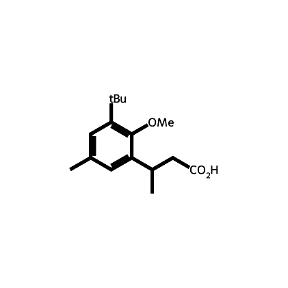 COc1c(C(C)CC(=O)O)cc(C)cc1C(C)(C)C